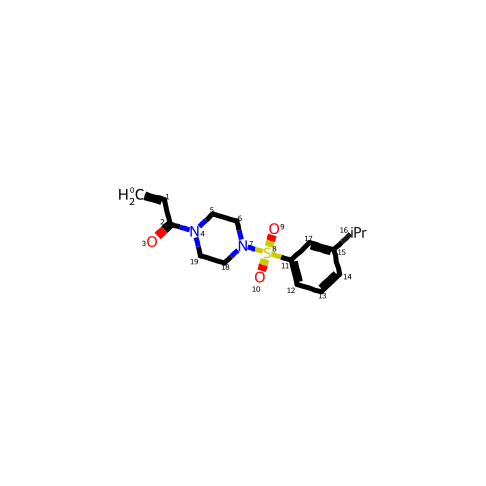 C=CC(=O)N1CCN(S(=O)(=O)c2cccc(C(C)C)c2)CC1